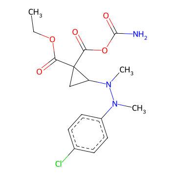 CCOC(=O)C1(C(=O)OC(N)=O)CC1N(C)N(C)c1ccc(Cl)cc1